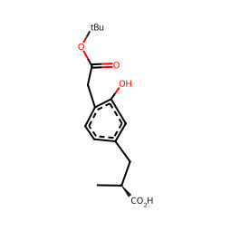 C[C@@H](Cc1ccc(CC(=O)OC(C)(C)C)c(O)c1)C(=O)O